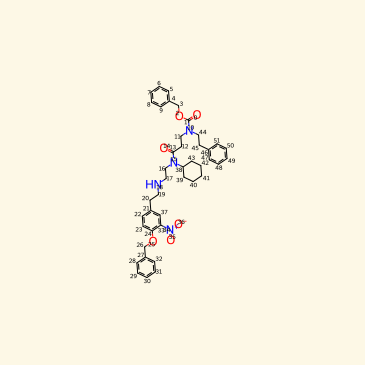 O=C(OCc1ccccc1)N(CCC(=O)N(CCNCCc1ccc(OCc2ccccc2)c([N+](=O)[O-])c1)C1CCCCC1)CCc1ccccc1